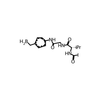 BCc1ccc(NC(=O)CNC(=O)[C@@H](NC(=O)I)C(C)C)cc1